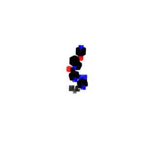 Cc1cc(Nc2cc(C(=O)N3CCc4c(Oc5ccncc5)cccc43)ccn2)ccn1